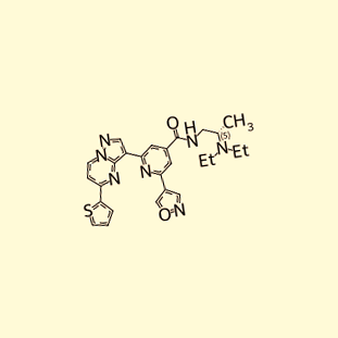 CCN(CC)[C@@H](C)CNC(=O)c1cc(-c2cnoc2)nc(-c2cnn3ccc(-c4cccs4)nc23)c1